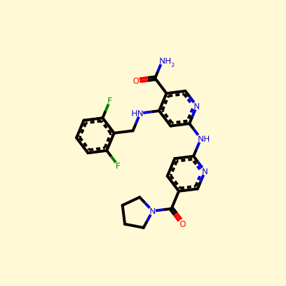 NC(=O)c1cnc(Nc2ccc(C(=O)N3CCCC3)cn2)cc1NCc1c(F)cccc1F